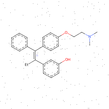 CC/C(=C(\c1ccccc1)c1ccc(OCCN(C)C)cc1)c1cccc(O)c1